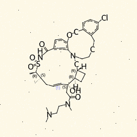 C[C@@H]1[C@@H](C)C/C=C/[C@](O)(CC(=O)N(C)CCN(C)C)[C@@H]2CC[C@H]2CN2CCCCc3cc(Cl)ccc3COc3ccc(cc32)C(=O)NS1(=O)=O